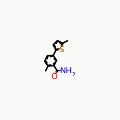 Cc1ccc(-c2ccc(C)c(C(N)=O)c2)s1